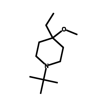 CCC1(OC)CCN(C(C)(C)C)CC1